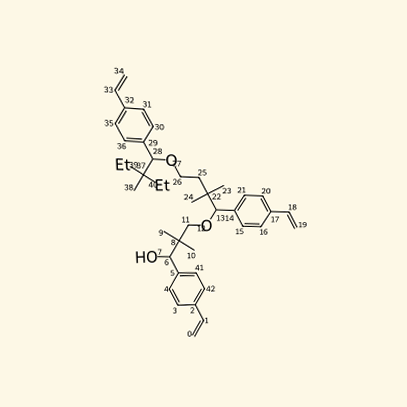 C=Cc1ccc(C(O)C(C)(C)COC(c2ccc(C=C)cc2)C(C)(C)CCOC(c2ccc(C=C)cc2)C(C)(CC)CC)cc1